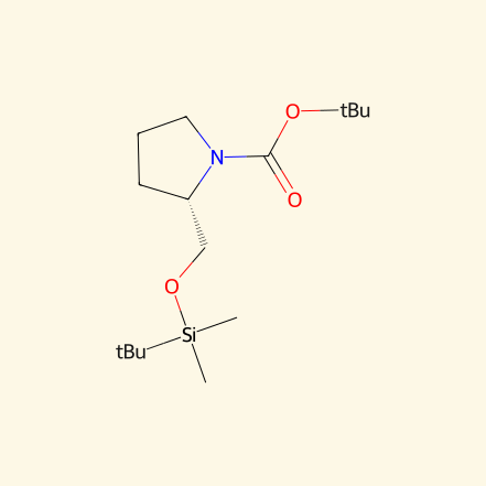 CC(C)(C)OC(=O)N1CCC[C@H]1CO[Si](C)(C)C(C)(C)C